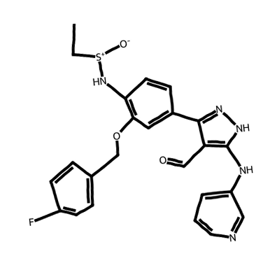 CC[S+]([O-])Nc1ccc(-c2n[nH]c(Nc3cccnc3)c2C=O)cc1OCc1ccc(F)cc1